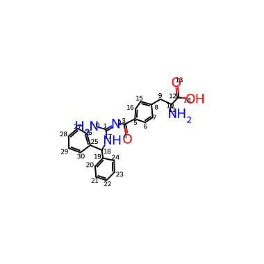 NC(=NC(=O)c1ccc(CC(N)C(=O)O)cc1)NC(c1ccccc1)c1ccccc1